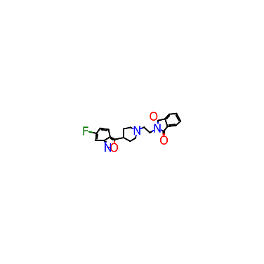 O=C1c2ccccc2C(=O)N1CCN1CCC(c2onc3cc(F)ccc23)CC1